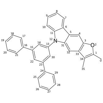 Cc1oc2cc3c4ccccc4n(-c4cc(-c5ccccc5)cc(-c5ccccc5)c4)c3cc2c1C